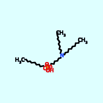 CCCCCCCCCCOP(=O)(O)OCCCCCCN(CCCCCCCCCC)CCCCCCCCCC